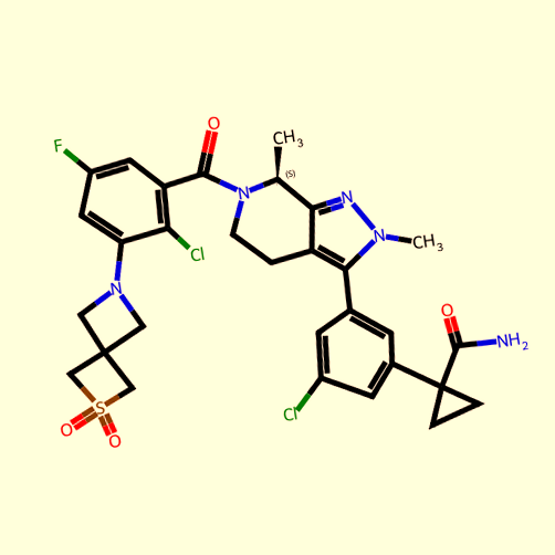 C[C@H]1c2nn(C)c(-c3cc(Cl)cc(C4(C(N)=O)CC4)c3)c2CCN1C(=O)c1cc(F)cc(N2CC3(C2)CS(=O)(=O)C3)c1Cl